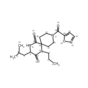 CCCN1C(=O)C(CC(C)C)NC(=O)C12CCN(C(=O)c1ccno1)CC2